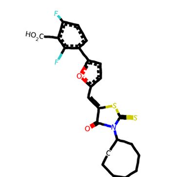 O=C(O)c1c(F)ccc(-c2ccc(C=C3SC(=S)N(C4CCCCCCC4)C3=O)o2)c1F